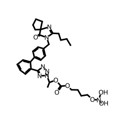 CCCCC1=NC2(CCCC2)C(=O)N1Cc1ccc(-c2ccccc2-c2nnn(C(C)OC(=O)OCCCCON(O)O)n2)cc1